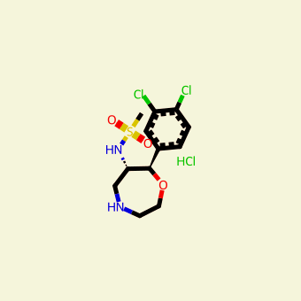 CS(=O)(=O)N[C@H]1CNCCO[C@@H]1c1ccc(Cl)c(Cl)c1.Cl